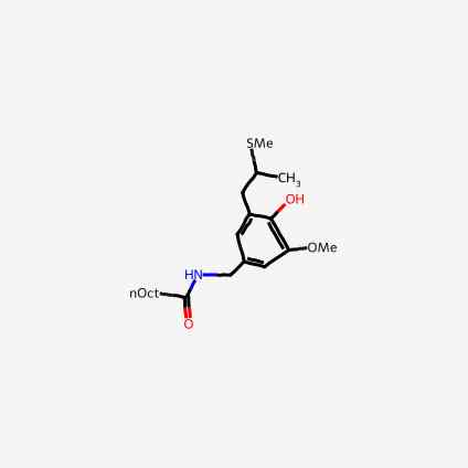 CCCCCCCCC(=O)NCc1cc(CC(C)SC)c(O)c(OC)c1